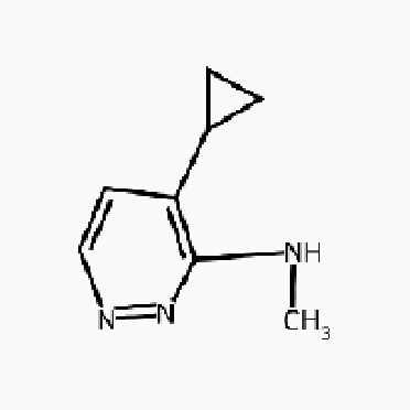 CNc1nnccc1C1CC1